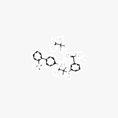 CC(C)(Nc1cccc(C(=N)N)c1)C(=O)Nc1ccc(-c2ccccc2S(C)(=O)=O)cc1.O=C(O)C(F)(F)F